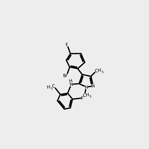 Cc1cccc(F)c1Nc1c(-c2ccc(F)cc2Br)c(C)nn1C